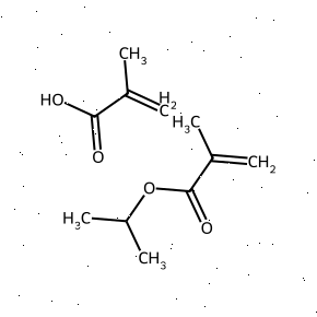 C=C(C)C(=O)O.C=C(C)C(=O)OC(C)C